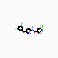 O=C(Nc1ccc(Cc2cc(F)cc(F)c2)cn1)c1cnnc(Cl)c1